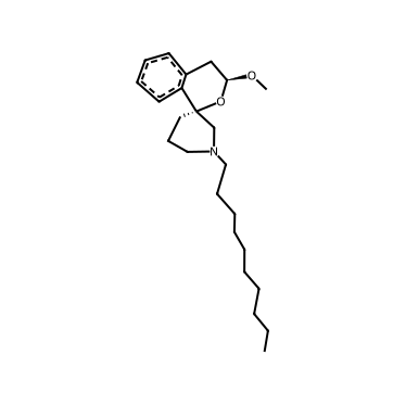 CCCCCCCCCCN1CCC[C@@]2(C1)O[C@H](OC)Cc1ccccc12